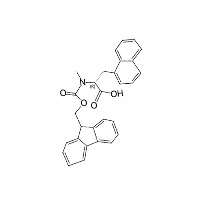 CN(C(=O)OCC1c2ccccc2-c2ccccc21)[C@H](Cc1cccc2ccccc12)C(=O)O